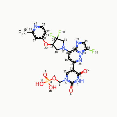 O=c1[nH]c(=O)n(COP(=O)(O)O)cc1-c1cc(N2CC(Oc3ccnc(C(F)(F)F)c3)C(F)(F)C2)c2ncc(F)n2n1